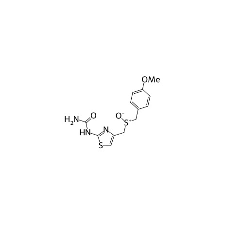 COc1ccc(C[S+]([O-])Cc2csc(NC(N)=O)n2)cc1